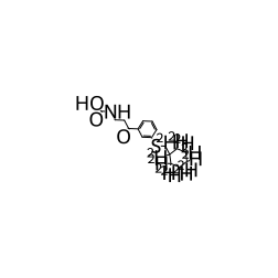 [2H]C1([2H])C([2H])([2H])C([2H])([2H])C([2H])(CSc2cccc(C(=O)CCNC(=O)O)c2)C([2H])([2H])C1([2H])[2H]